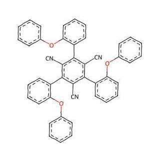 [C-]#[N+]c1c(-c2ccccc2Oc2ccccc2)c(C#N)c(-c2ccccc2Oc2ccccc2)c(C#N)c1-c1ccccc1Oc1ccccc1